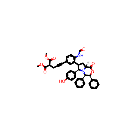 COC(=O)C(CC#Cc1ccc(NC=O)c(C2C[C@@H]3C(=O)O[C@@H](c4ccccc4)[C@@H](c4ccccc4)N3[C@H]2c2ccc(O)cc2)c1)C(=O)OC